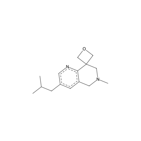 CC(C)Cc1cnc2c(c1)CN(C)CC21COC1